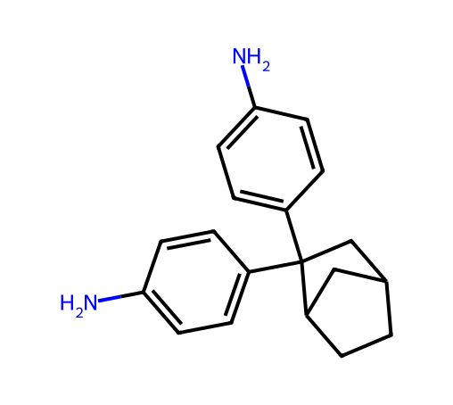 Nc1ccc(C2(c3ccc(N)cc3)CC3CCC2C3)cc1